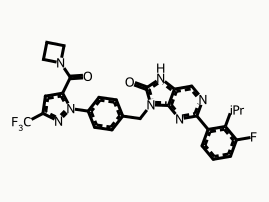 CC(C)c1c(F)cccc1-c1ncc2[nH]c(=O)n(Cc3ccc(-n4nc(C(F)(F)F)cc4C(=O)N4CCC4)cc3)c2n1